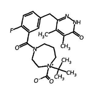 Cc1c(Cc2ccc(F)c(C(=O)N3CCC[N+](C(=O)[O-])(C(C)(C)C)CC3)c2)n[nH]c(=O)c1C